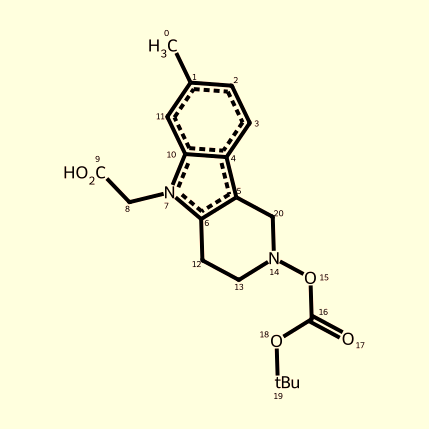 Cc1ccc2c3c(n(CC(=O)O)c2c1)CCN(OC(=O)OC(C)(C)C)C3